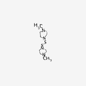 CN1CCN(SSN2CCN(C)CC2)CC1